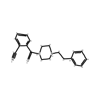 N#Cc1ccccc1C(=O)N1CCN(CCc2ccccc2)CC1